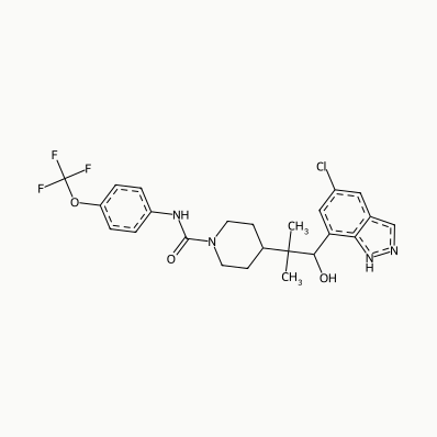 CC(C)(C1CCN(C(=O)Nc2ccc(OC(F)(F)F)cc2)CC1)C(O)c1cc(Cl)cc2cn[nH]c12